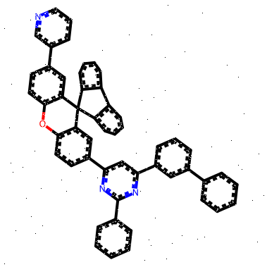 c1ccc(-c2cccc(-c3cc(-c4ccc5c(c4)C4(c6cc(-c7cccnc7)ccc6O5)c5ccccc5-c5ccccc54)nc(-c4ccccc4)n3)c2)cc1